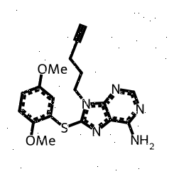 C#CCCCn1c(Sc2cc(OC)ccc2OC)nc2c(N)ncnc21